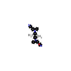 Cc1cc(-n2c3ccccc3c3cc(-c4ccncc4)ccc32)ccc1-c1ccc(-n2c3ccccc3c3cc(-c4ccncc4)ccc32)cc1C